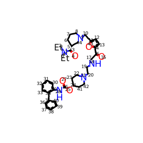 CCN(CC)C(=O)[C@@H]1CCCN(Cc2ccc(C(=O)CNCCN3CCC(OC(=O)Nc4ccccc4-c4ccccc4)CC3)o2)C1